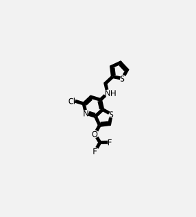 FC(F)Oc1csc2c(NCc3cccs3)cc(Cl)nc12